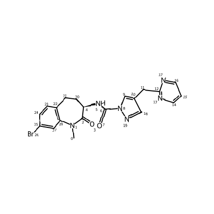 CN1C(=O)[C@H](NC(=O)n2cc(Cc3ncccn3)cn2)CCc2ccc(Br)cc21